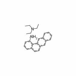 CCN(CC)CC.[AlH2][c]1cccc2ccc3cc4ccccc4cc3c12